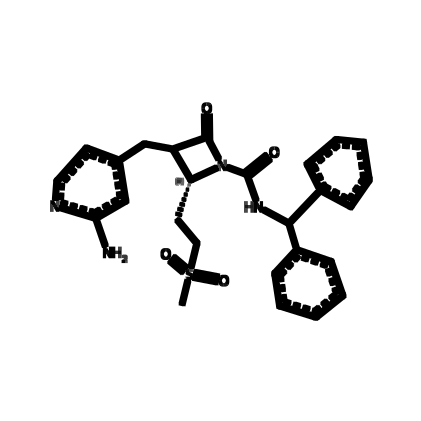 CS(=O)(=O)CC[C@@H]1C(Cc2ccnc(N)c2)C(=O)N1C(=O)NC(c1ccccc1)c1ccccc1